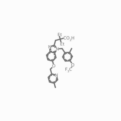 CCC(CC)(Cc1nc2ccc(OCc3ccc(C)cn3)cc2n1Cc1ccc(OC(F)(F)F)cc1C)C(=O)O